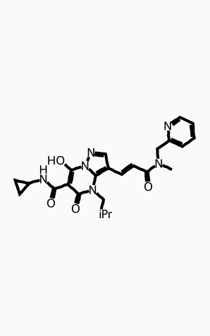 CC(C)Cn1c(=O)c(C(=O)NC2CC2)c(O)n2ncc(C=CC(=O)N(C)Cc3ccccn3)c12